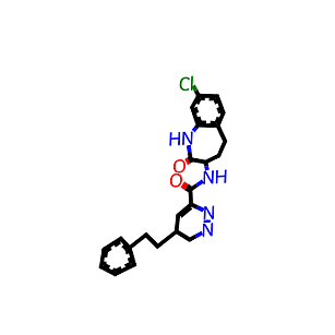 O=C(NC1CCc2ccc(Cl)cc2NC1=O)C1=CC(CCc2ccccc2)CN=N1